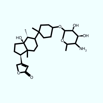 CC1OC(OC2CCC(C)(C3CCC4(C)[C@@H](C5=CC(=O)OC5)CC[C@]4(O)[C@@H]3C)CC2)[C@@H](O)[C@@H](O)C1N